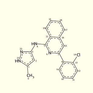 Cc1cc(Nc2nc(-c3ccccc3Cl)cc3ccccc23)n[nH]1